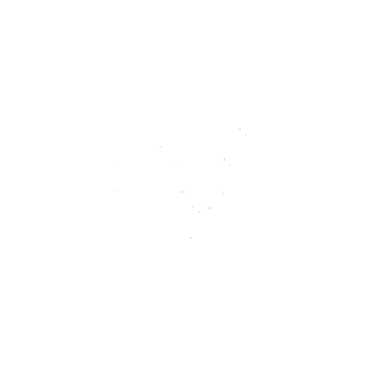 C=CC(O)N1[C@H](C)CN(c2nc(=O)n3c4c(c(-c5ccc(F)cc5)c(C(F)(F)F)cc24)SC[C@@H]3COC)C[C@@H]1C